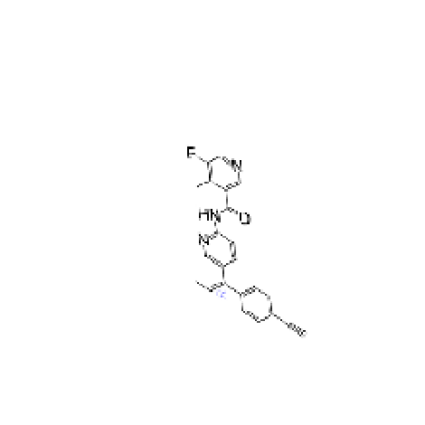 C#Cc1ccc(/C(=C/C)c2ccc(NC(=O)c3cncc(F)c3C)nc2)cc1